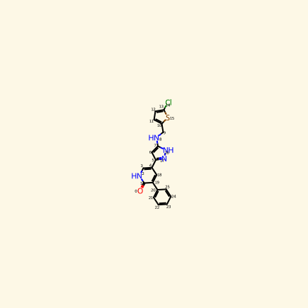 O=c1[nH]cc(-c2cc(NCc3ccc(Cl)s3)[nH]n2)cc1-c1ccccc1